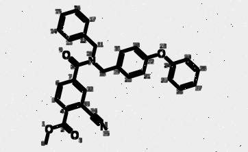 COC(=O)c1ccc(C(=O)N(Cc2ccccc2)Cc2ccc(Oc3ccccc3)cc2)cc1C#N